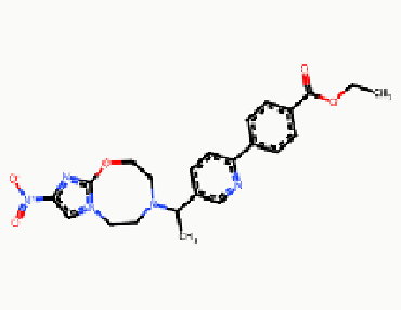 CCOC(=O)c1ccc(-c2ccc(C(C)N3CCOc4nc([N+](=O)[O-])cn4CC3)cn2)cc1